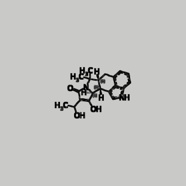 CC(O)C1=C(O)[C@@H]2[C@H]3c4c[nH]c5cccc(c45)C[C@H]3C(C)(C)N2C1=O